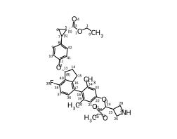 CCOC(=O)[C@H]1C[C@@H]1c1ccc(O[C@@H]2CCc3c(-c4c(C)cc(OC(C5CNC5)S(C)(=O)=O)cc4C)ccc(F)c32)cc1